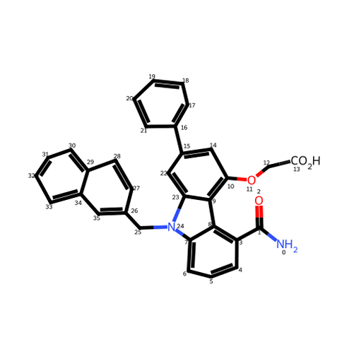 NC(=O)c1cccc2c1c1c(OCC(=O)O)cc(-c3ccccc3)cc1n2Cc1ccc2ccccc2c1